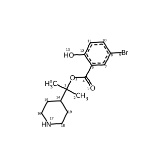 CC(C)(OC(=O)c1cc(Br)ccc1O)C1CCNCC1